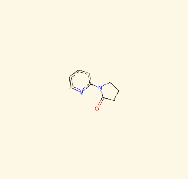 O=C1CCCN1c1ccc[c]n1